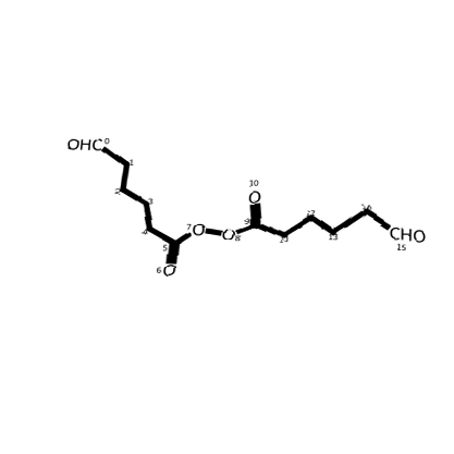 O=CCCCCC(=O)OOC(=O)CCCCC=O